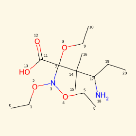 CCON(OCC)C(OCC)(C(=O)O)C(C)(C)C(N)CC